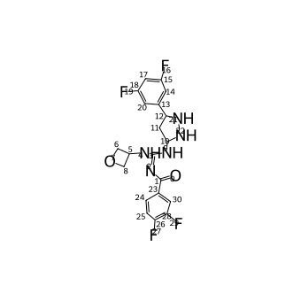 O=C(/N=C(/NC1COC1)NC1CC(c2cc(F)cc(F)c2)NN1)c1ccc(F)c(F)c1